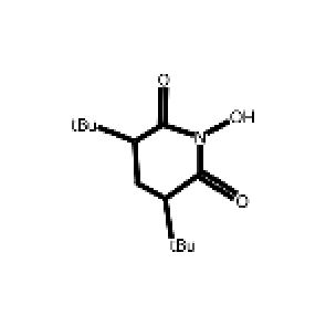 CC(C)(C)C1CC(C(C)(C)C)C(=O)N(O)C1=O